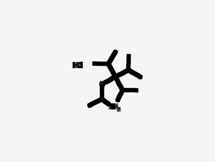 CC(N)OC(C(C)C)(C(C)C)C(C)C.Cl